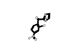 O=C(c1ncc[nH]1)c1ccc([N+](=O)[O-])cc1Cl